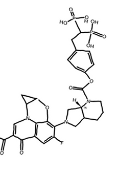 COc1c(N2CC3CCCN(C(=O)Oc4ccc(CC(P(=O)(O)O)P(=O)(O)O)cc4)[C@H]3C2)c(F)cc2c(=O)c(C(=O)O)cn(C3CC3)c12